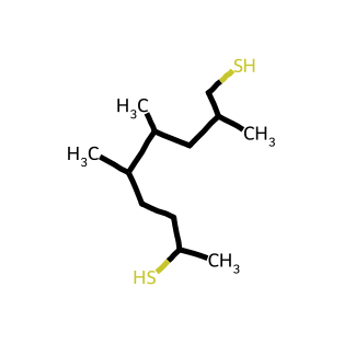 CC(S)CCC(C)C(C)CC(C)CS